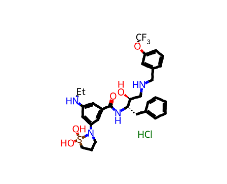 CCNc1cc(C(=O)N[C@@H](Cc2ccccc2)[C@@H](O)CNCc2cccc(OC(F)(F)F)c2)cc(N2CCCS2(O)O)c1.Cl